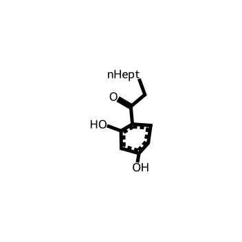 CCCCCCCCC(=O)c1ccc(O)cc1O